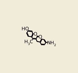 Cc1c(Cc2ccc(N)cc2)c(=O)oc2cc(O)ccc12